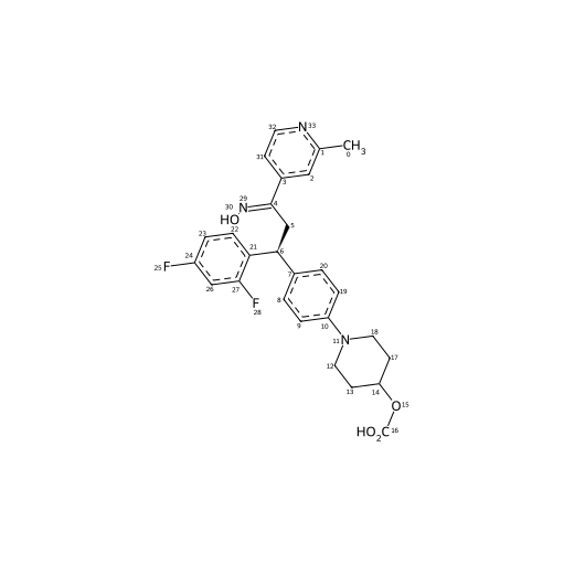 Cc1cc(/C(C[C@@H](c2ccc(N3CCC(OC(=O)O)CC3)cc2)c2ccc(F)cc2F)=N/O)ccn1